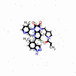 C=CC(=O)N1CCC(Cn2c(=O)c(=O)n(-c3c(C)ccnc3C(C)C)c3nc(-c4c(C)ccc5[nH]ncc45)c(Cl)cc32)C1